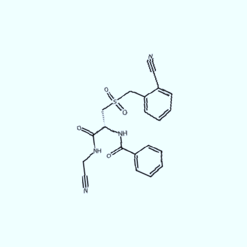 N#CCNC(=O)[C@H](CS(=O)(=O)Cc1ccccc1C#N)NC(=O)c1ccccc1